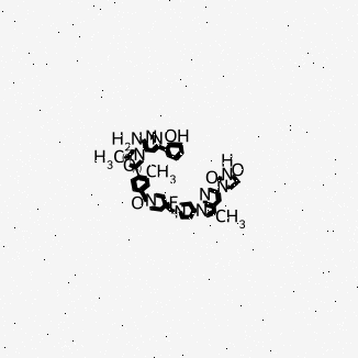 Cc1cc(C(=O)N2CCC(F)(CN3CCC(n4cc(C)c5cc(N6CCC(=O)NC6=O)cnc54)CC3)CC2)ccc1[C@@H]1CN(c2cc(-c3ccccc3O)nnc2N)C[C@H](C)O1